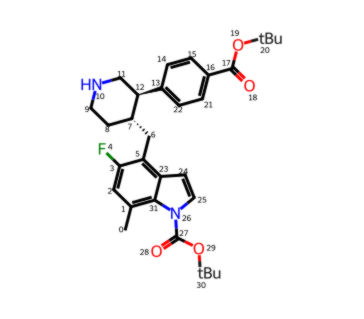 Cc1cc(F)c(C[C@@H]2CCNC[C@H]2c2ccc(C(=O)OC(C)(C)C)cc2)c2ccn(C(=O)OC(C)(C)C)c12